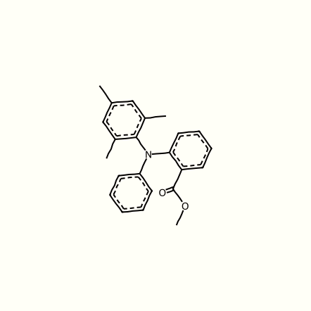 COC(=O)c1ccccc1N(c1ccccc1)c1c(C)cc(C)cc1C